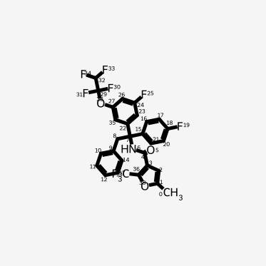 Cc1cc(C(=O)NC(Cc2ccccc2)(c2ccc(F)cc2)c2cc(F)cc(OC(F)(F)C(F)F)c2)c(C(F)(F)F)o1